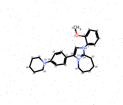 COc1ccccc1-n1cc(-c2ccc(N3CCCCC3)cc2)[n+]2c1CCCCC2